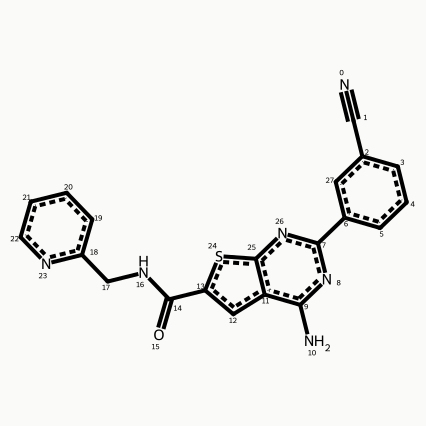 N#Cc1cccc(-c2nc(N)c3cc(C(=O)NCc4ccccn4)sc3n2)c1